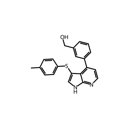 Cc1ccc(Sc2c[nH]c3nccc(-c4cccc(CO)c4)c23)cc1